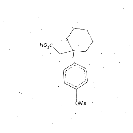 COc1ccc(C2(CC(=O)O)CCCCS2)cc1